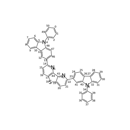 c1ccc(-n2c3ccccc3c3cc(-c4ccc5sc6ccc(-c7ccc8c9ccccc9n(-c9ccccc9)c8c7)nc6c5n4)ccc32)cc1